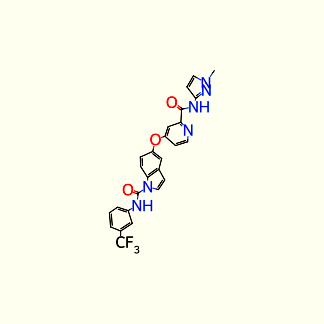 Cn1ccc(NC(=O)c2cc(Oc3ccc4c(ccn4C(=O)Nc4cccc(C(F)(F)F)c4)c3)ccn2)n1